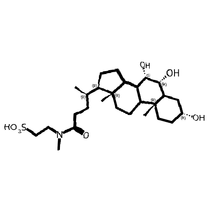 C[C@H](CCC(=O)N(C)CCS(=O)(=O)O)[C@H]1CCC2C3C(CC[C@@]21C)[C@@]1(C)CC[C@@H](O)CC1[C@@H](O)[C@H]3O